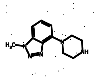 Cn1nnc2c(N3CCNCC3)cccc21